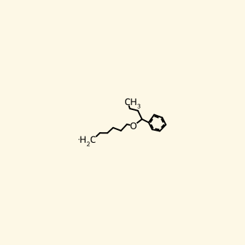 [CH2]CCCCCOC(CCC)c1ccccc1